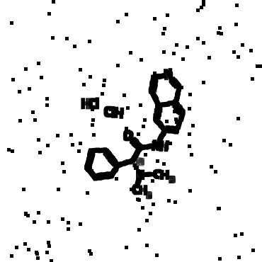 CN(C)[C@@H](C(=O)Nc1ccc2cnccc2c1)c1ccccc1.Cl.Cl